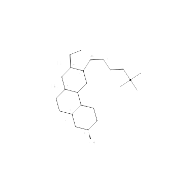 C[C@H](CCC(C)(C)C)[C@H]1CC[C@@H]2C[C@@H]3CC[C@@H]4C[C@H](O)CC[C@]4(C)C3C[C@@]21C